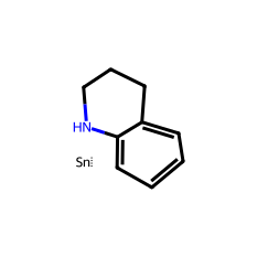 [Sn].c1ccc2c(c1)CCCN2